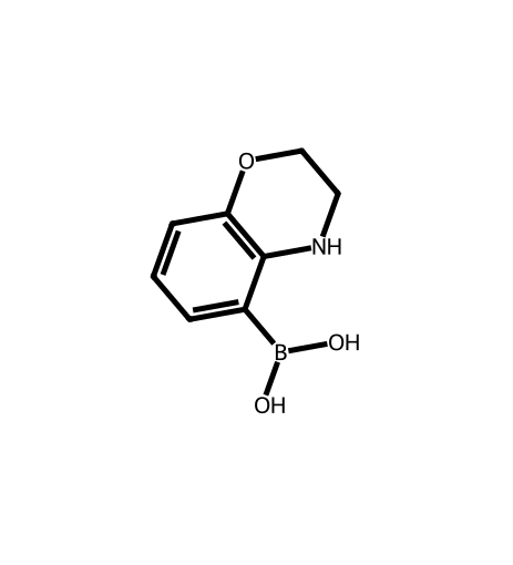 OB(O)c1cccc2c1NCCO2